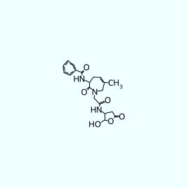 CC1=CCC(NC(=O)c2ccccc2)C(=O)N(CC(=O)NC2CC(=O)OC2O)C1